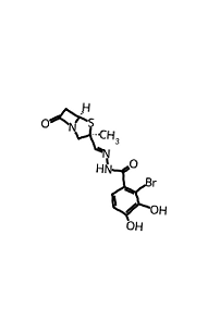 C[C@]1(/C=N/NC(=O)c2ccc(O)c(O)c2Br)CN2C(=O)C[C@H]2S1